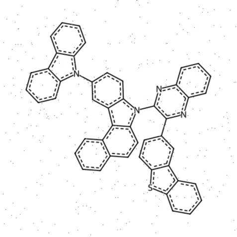 c1ccc2c(c1)ccc1c2c2cc(-n3c4ccccc4c4ccccc43)ccc2n1-c1nc2ccccc2nc1-c1ccc2sc3ccccc3c2c1